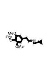 COc1cc(CCNCC2CC2)cc(OC)c1OC(C)C